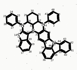 c1ccc(N2c3cc4c(cc3B3c5c(sc6ccccc56)N(c5ccccc5)C5CCCC2C35)c2cccc3c5ccccc5n4c32)cc1